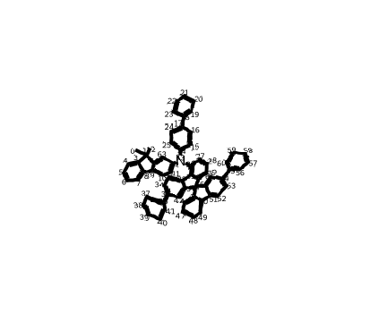 CC1(C)c2ccccc2-c2ccc(N(c3ccc(-c4ccccc4)cc3)c3cccc4c3-c3ccc(-c5ccccc5)cc3C43c4ccccc4-c4ccc(-c5ccccc5)cc43)cc21